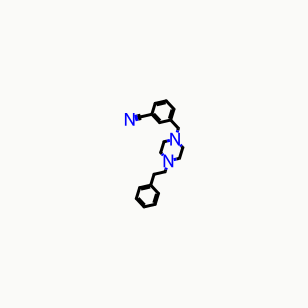 N#Cc1cccc(CN2CCN(CCc3ccccc3)CC2)c1